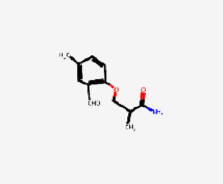 Cc1ccc(OCC(C)C(N)=O)c(C=O)c1